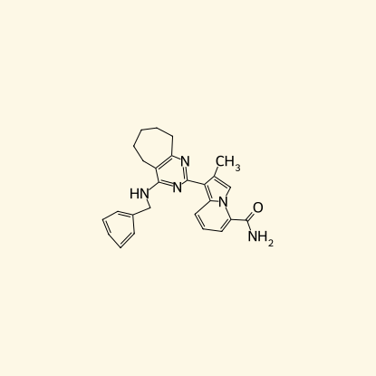 Cc1cn2c(C(N)=O)cccc2c1-c1nc2c(c(NCc3ccccc3)n1)CCCCC2